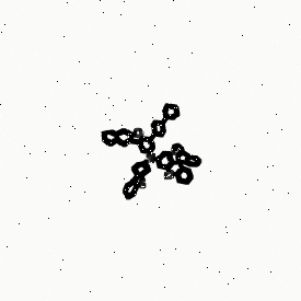 c1ccc(-c2ccc(-c3cc(N(c4ccc5c(c4)Oc4ccccc4C54c5ccccc5-c5ccccc54)c4ccc5c(c4)sc4ccccc45)cc4c3oc3cc5ccccc5cc34)cc2)cc1